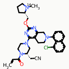 C=CC(=O)N1CCN(c2nc(OC[C@@H]3CCCN3[14CH3])nc3c2CCN(c2cccc4cccc(Cl)c24)C3)C[C@@H]1CC#N